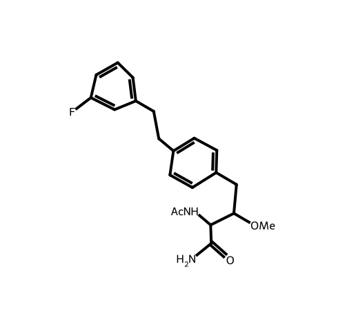 COC(Cc1ccc(CCc2cccc(F)c2)cc1)C(NC(C)=O)C(N)=O